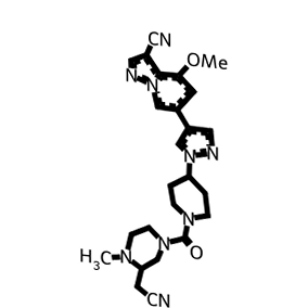 COc1cc(-c2cnn(C3CCN(C(=O)N4CCN(C)C(CC#N)C4)CC3)c2)cn2ncc(C#N)c12